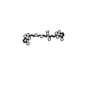 O=C(CCC(=O)ON1C(=O)C=CC1=O)NCCOCCOCCC(=O)ON1C(=O)CCC1=O